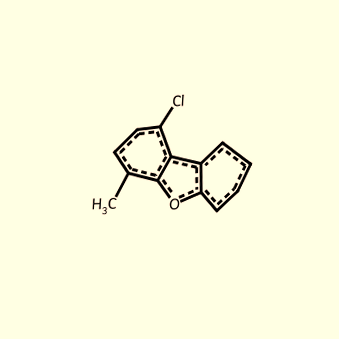 Cc1ccc(Cl)c2c1oc1ccccc12